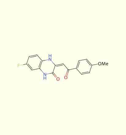 COc1ccc(C(=O)C=C2Nc3ccc(F)cc3NC2=O)cc1